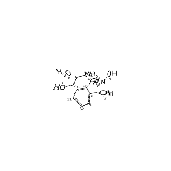 NCCO.NO.O.Oc1ccccc1O